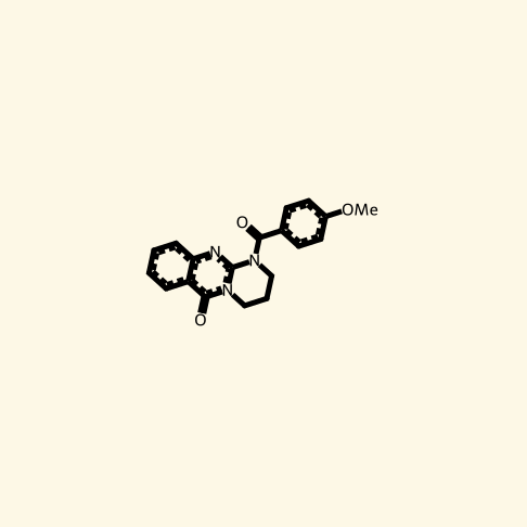 COc1ccc(C(=O)N2CCCn3c2nc2ccccc2c3=O)cc1